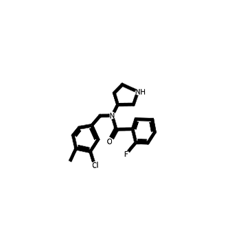 Cc1ccc(CN(C(=O)c2ccccc2F)C2CCNC2)cc1Cl